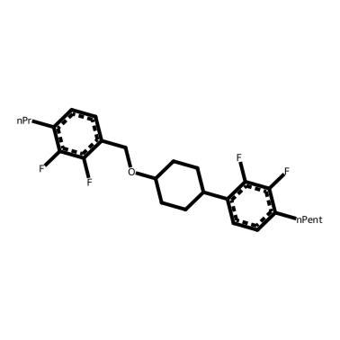 CCCCCc1ccc(C2CCC(OCc3ccc(CCC)c(F)c3F)CC2)c(F)c1F